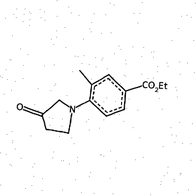 CCOC(=O)c1ccc(N2CCC(=O)C2)c(C)c1